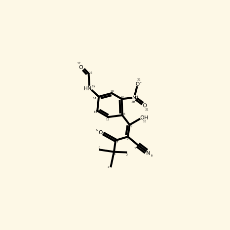 CC(C)(C)C(=O)C(C#N)=C(O)c1ccc(NC=O)cc1[N+](=O)[O-]